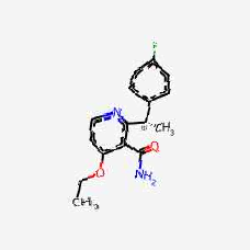 CCOc1ccnc([C@@H](C)c2ccc(F)cc2)c1C(N)=O